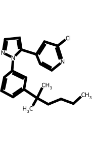 CCCCC(C)(C)c1cccc(-n2nccc2-c2ccnc(Cl)c2)c1